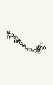 N#Cc1ccc(N2CCC(C(=O)Nc3ccc(N4CC[C@@H](CN5CC6(CCN(c7ccc8c(c7)C(=O)N(C7CCC(=O)NC7=O)C8=O)CC6)C5)C4)cn3)CC2)cc1C(F)(F)F